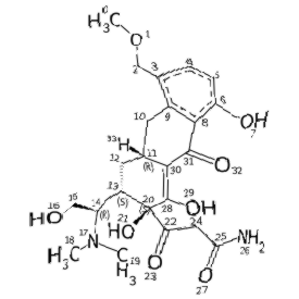 COCc1ccc(O)c2c1C[C@H]1C[C@@H]([C@H](CO)N(C)C)[C@@](O)(C(=O)CC(N)=O)C(O)=C1C2=O